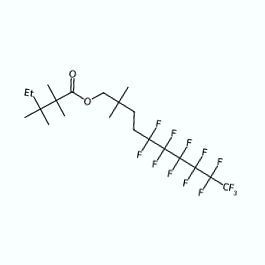 CCC(C)(C)C(C)(C)C(=O)OCC(C)(C)CCC(F)(F)C(F)(F)C(F)(F)C(F)(F)C(F)(F)C(F)(F)F